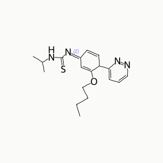 CCCCOC1=C/C(=N\C(=S)NC(C)C)C=CC1c1cccnn1